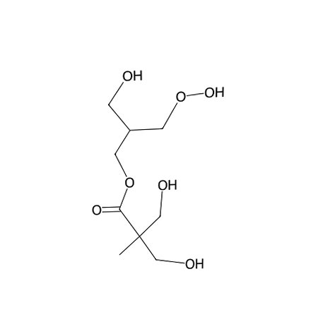 CC(CO)(CO)C(=O)OCC(CO)COO